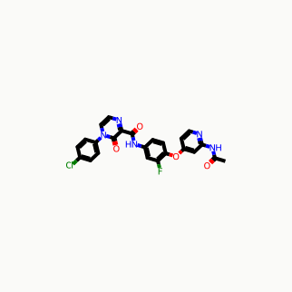 CC(=O)Nc1cc(Oc2ccc(NC(=O)c3nccn(-c4ccc(Cl)cc4)c3=O)cc2F)ccn1